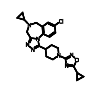 Clc1ccc2c(c1)CN(C1CC1)Cc1nnc(C3CCN(c4noc(C5CC5)n4)CC3)n1-2